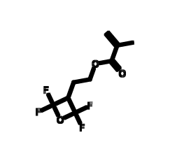 C=C(C)C(=O)OCCC1C(F)(F)OC1(F)F